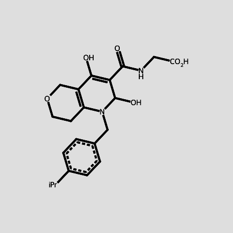 CC(C)c1ccc(CN2C3=C(COCC3)C(O)=C(C(=O)NCC(=O)O)C2O)cc1